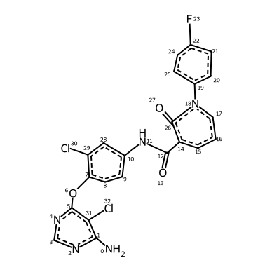 Nc1ncnc(Oc2ccc(NC(=O)c3cccn(-c4ccc(F)cc4)c3=O)cc2Cl)c1Cl